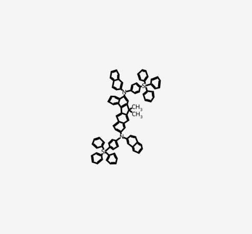 CC1(C)c2cc3cc(N(c4ccc([Si](c5ccccc5)(c5ccccc5)c5ccccc5)cc4)c4ccc5ccccc5c4)ccc3cc2-c2c1cc(N(c1ccc([Si](c3ccccc3)(c3ccccc3)c3ccccc3)cc1)c1ccc3ccccc3c1)c1ccccc21